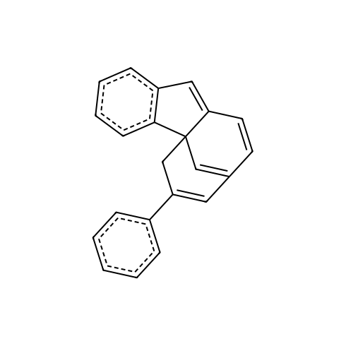 C1=CC2=Cc3ccccc3C23C=C1C=C(c1ccccc1)C3